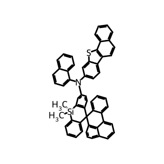 C[Si]1(C)c2ccccc2C2(c3ccccc3-c3cccc4cccc2c34)c2ccc(N(c3ccc4c(c3)sc3c5ccccc5ccc43)c3cccc4ccccc34)cc21